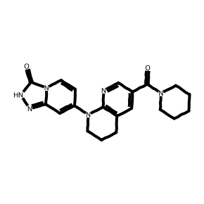 O=C(c1cnc2c(c1)CCCN2c1ccn2c(=O)[nH]nc2c1)N1CCCCC1